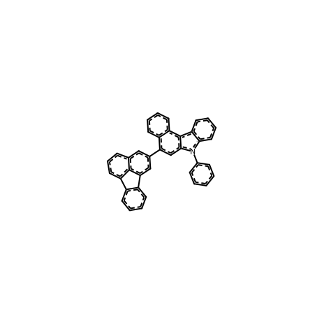 c1ccc(-n2c3ccccc3c3c4ccccc4c(-c4cc5c6c(cccc6c4)-c4ccccc4-5)cc32)cc1